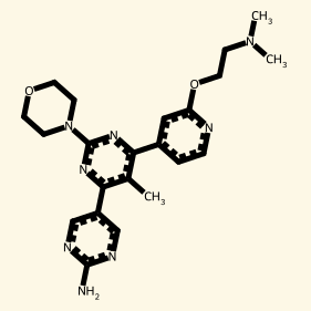 Cc1c(-c2cnc(N)nc2)nc(N2CCOCC2)nc1-c1ccnc(OCCN(C)C)c1